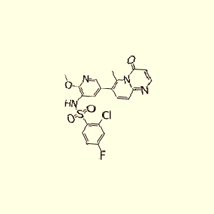 COc1ncc(-c2ccc3nccc(=O)n3c2C)cc1NS(=O)(=O)c1ccc(F)cc1Cl